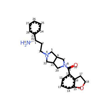 N[C@@H](CCN1CC2CN(C(=O)c3cccc4c3CCO4)CC2C1)c1ccccc1